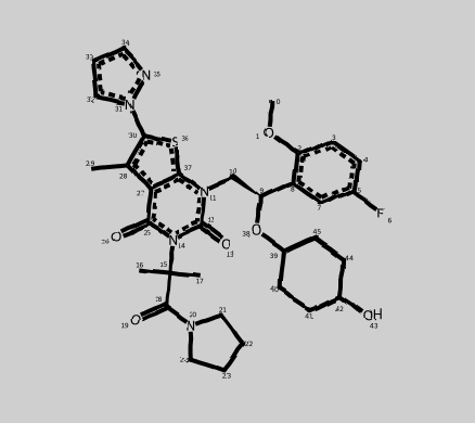 COc1ccc(F)cc1[C@H](Cn1c(=O)n(C(C)(C)C(=O)N2CCCC2)c(=O)c2c(C)c(-n3cccn3)sc21)OC1CCC(O)CC1